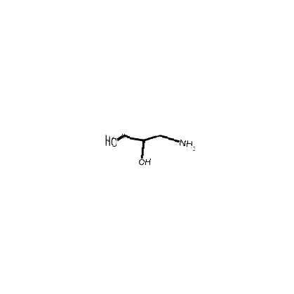 N[CH]C(O)[CH]O